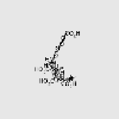 CC(C)[C@H](NC(=O)[C@H](CCC(=O)O)NC(=O)[C@H](CC(=O)O)NCCN=[N+]=[N-])C(=O)N[C@@H](CC(=O)O)C(=O)N[C@@H](C)C(=O)NCCOCCOCCOCCOCCC(=O)O